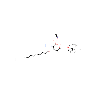 C/C=C\O[C@H]1O[C@H](CO[Si](C)(C)C(C)(C)C)[C@@H](C)[C@H](OCCCCCCCCCC)[C@H]1N